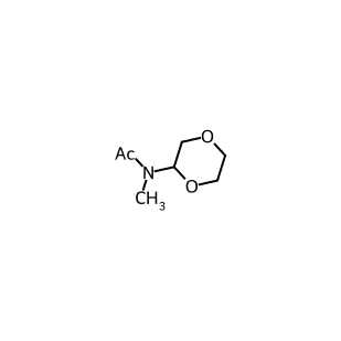 CC(=O)N(C)C1COCCO1